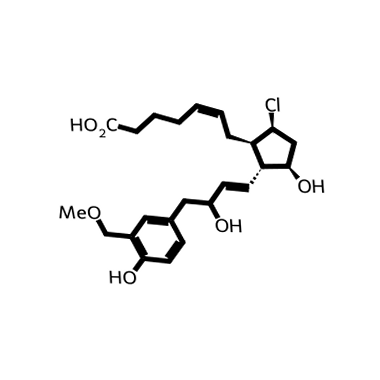 COCc1cc(CC(O)/C=C/[C@@H]2[C@@H](C/C=C\CCCC(=O)O)[C@@H](Cl)C[C@H]2O)ccc1O